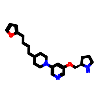 c1coc(CCCCC2CCN(c3cncc(OC[C@@H]4CCCN4)c3)CC2)c1